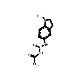 CC(=O)N[S+]([O-])Nc1ccc2c(c1)CCN2C